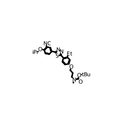 [C-]#[N+]c1cc(-c2nnc(-c3ccc(OCCCN(C)C(=O)OC(C)(C)C)cc3CC)s2)ccc1OC(C)C